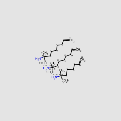 C=CCCCCC[C@@](C)(N)C(=O)O.C=CCCCCC[C@](C)(N)C(=O)O.C=CCCCC[C@@](C)(N)C(=O)O